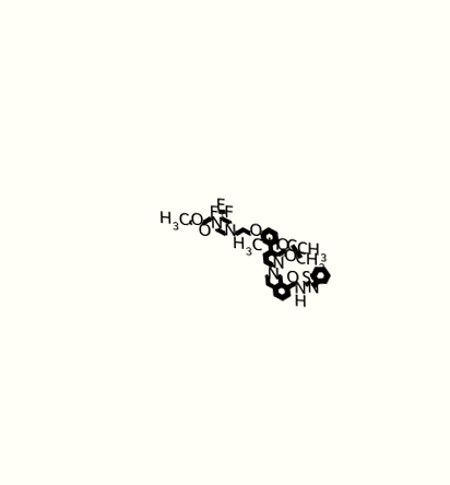 CCOC(=O)CN1CCN(CCCOc2cccc(-c3ccc(N4CCc5cccc(C(=O)Nc6nc7ccccc7s6)c5C4)nc3C(=O)OC(C)(C)C)c2C)C[C@H]1C(F)(F)F